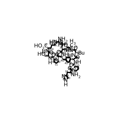 CC[C@H](C)[C@H](NC(=O)CNC(=O)[C@@H]1CCCN1C(=O)[C@@H](N)Cc1c[nH]cn1)C(=O)N[C@@H](C)C(=O)N[C@@H](CCC(=O)O)C(=O)N[C@@H](Cc1ccccc1)C(=O)N1CCC[C@H]1C(=O)N[C@@H](CO)C(=O)N[C@@H](CCCNC(=N)N)C(=O)O